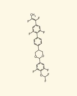 C/C(F)=C(\F)c1cc(F)c(-c2ccc(C3COC(c4cc(F)c(OC(F)F)c(F)c4)OC3)cc2)c(F)c1